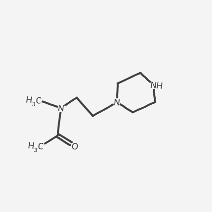 CC(=O)N(C)CCN1CCNCC1